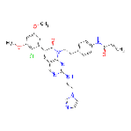 C=CC(=O)Nc1ccc(CCn2c(=O)c(-c3cc(OC)cc(OC)c3Cl)cc3cnc(NCCn4ccnc4)nc32)cc1